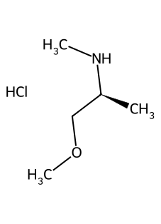 CN[C@@H](C)COC.Cl